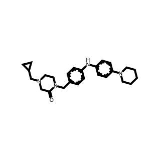 O=C1CN(CC2CC2)CCN1Cc1ccc(Nc2ccc(N3CCCCC3)cc2)cc1